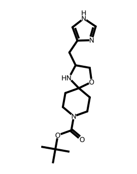 CC(C)(C)OC(=O)N1CCC2(CC1)NC(Cc1c[nH]cn1)CO2